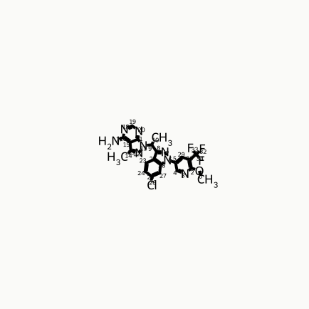 COc1ncc(-n2nc(C(C)n3nc(C)c4c(N)ncnc43)c3ccc(Cl)cc32)cc1C(F)(F)F